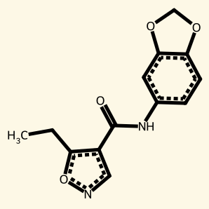 CCc1oncc1C(=O)Nc1ccc2c(c1)OCO2